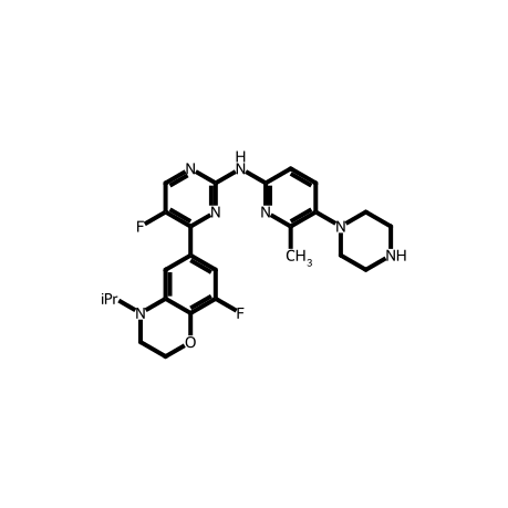 Cc1nc(Nc2ncc(F)c(-c3cc(F)c4c(c3)N(C(C)C)CCO4)n2)ccc1N1CCNCC1